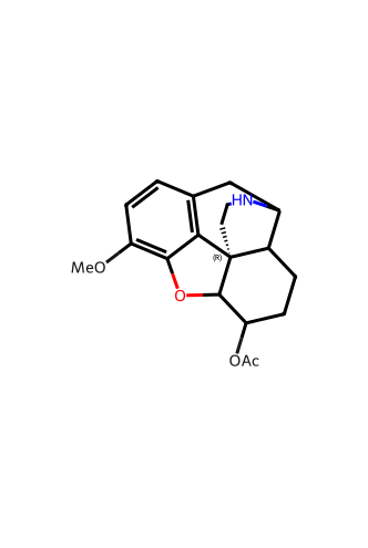 COc1ccc2c3c1OC1C(OC(C)=O)CCC4C(C2)NCC[C@]341